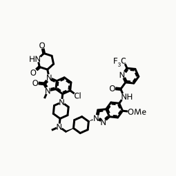 COc1cc2nn([C@H]3CC[C@H](CN(C)C4CCN(c5c(Cl)ccc6c5n(C)c(=O)n6C5CCC(=O)NC5=O)CC4)CC3)cc2cc1NC(=O)c1cccc(C(F)(F)F)n1